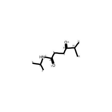 CC(C)NC(=O)CCC(=O)C(C)C